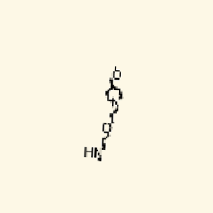 CNCCCOCCCN1CCC(COC)CC1